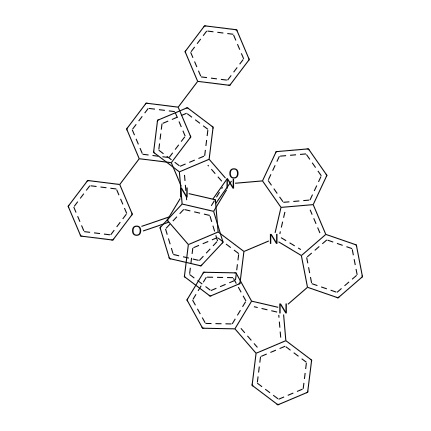 O=C1c2cccc(-n3c4c(-n5c6ccccc6c6ccccc65)cccc4c4cccc(-n5c6ccccc6c6ccccc65)c43)c2C(=O)N1c1cc(-c2ccccc2)ccc1-c1ccccc1